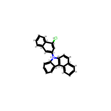 Clc1cc(-n2c3ccccc3c3c4ccccc4ccc32)cc2ccccc12